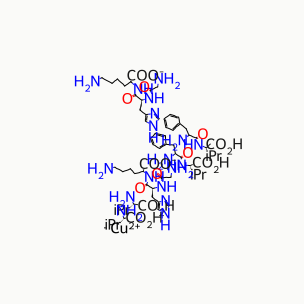 CC(C)[C@H](N)C(=O)O.CC(C)[C@H](N)C(=O)O.CC(C)[C@H](NC(=O)[C@@H](N)Cc1ccccc1)C(=O)O.CC(C)[C@H](NC(=O)[C@@H](N)Cc1ccccc1)C(=O)O.NCCCC[C@H](NC(=O)[C@H](Cc1c[nH]cn1)NC(=O)CN)C(=O)[O-].NCCCC[C@H](NC(=O)[C@H](Cc1c[nH]cn1)NC(=O)CN)C(=O)[O-].[Cu+2]